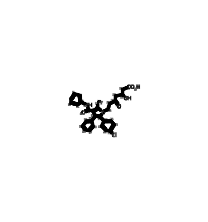 CC(C)c1c(C(=O)Nc2ccccc2)c(-c2ccccc2)c(-c2ccc(Cl)cc2)n1CCC(=O)CC(O)CC(=O)O